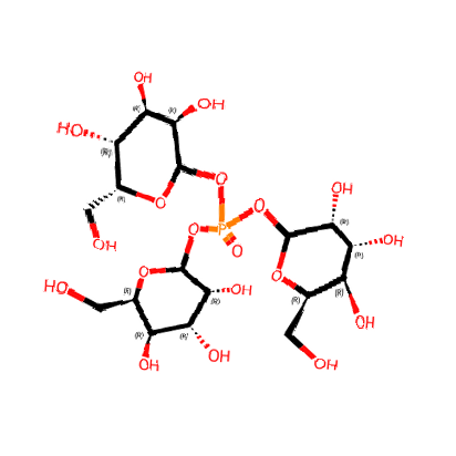 O=P(OC1O[C@H](CO)[C@H](O)[C@@H](O)[C@H]1O)(OC1O[C@H](CO)[C@H](O)[C@@H](O)[C@H]1O)OC1O[C@H](CO)[C@H](O)[C@@H](O)[C@H]1O